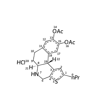 CCCc1cc2c(s1)CN[C@H]1CCc3cc(OC(C)=O)c(OC(C)=O)cc3[C@H]21.Cl